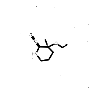 CCOC1(C)CCCNC1=C=O